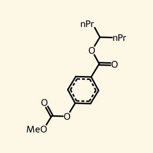 CCCC(CCC)OC(=O)c1ccc(OC(=O)OC)cc1